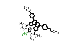 CCCc1ccc(-c2cccc3c2C=C(C(C)C)[CH]3[Zr+2]2([CH]3C(C(C)C)=Cc4c(-c5ccc(CCC)cc5)cccc43)[CH2]C[CH2]2)cc1.[Cl-].[Cl-]